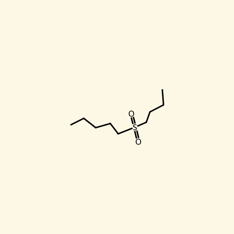 CCCCCS(=O)(=O)CCCC